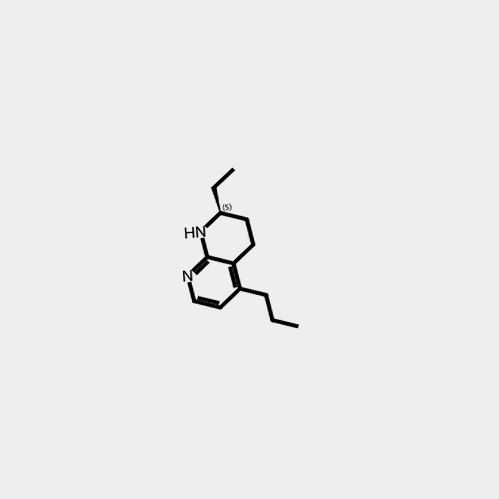 CCCc1ccnc2c1CC[C@H](CC)N2